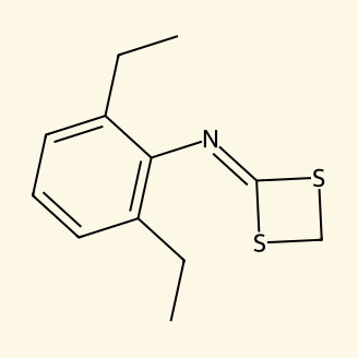 CCc1cccc(CC)c1N=C1SCS1